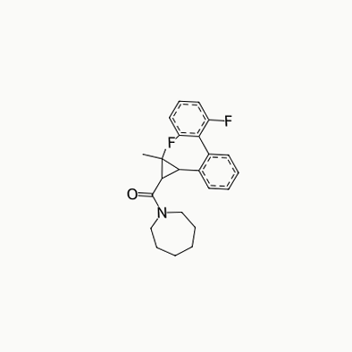 CC1(C)C(C(=O)N2CCCCCC2)C1c1ccccc1-c1c(F)cccc1F